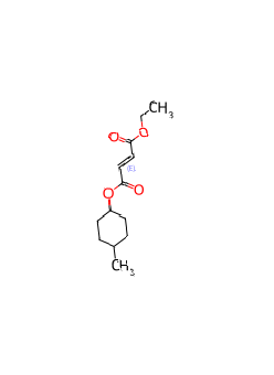 CCOC(=O)/C=C/C(=O)OC1CCC(C)CC1